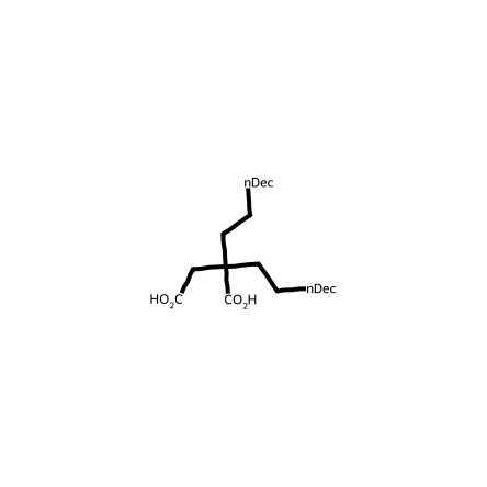 CCCCCCCCCCCCC(CCCCCCCCCCCC)(CC(=O)O)C(=O)O